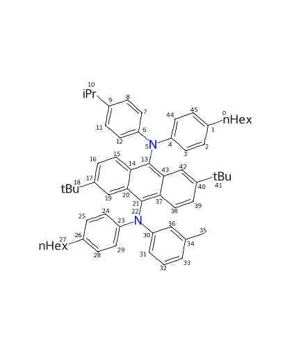 CCCCCCc1ccc(N(c2ccc(C(C)C)cc2)c2c3ccc(C(C)(C)C)cc3c(N(c3ccc(CCCCCC)cc3)c3cccc(C)c3)c3ccc(C(C)(C)C)cc23)cc1